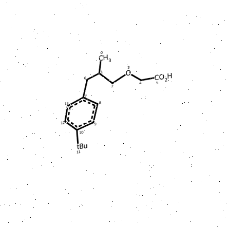 CC(COCC(=O)O)Cc1ccc(C(C)(C)C)cc1